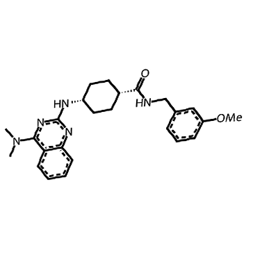 COc1cccc(CNC(=O)[C@H]2CC[C@@H](Nc3nc(N(C)C)c4ccccc4n3)CC2)c1